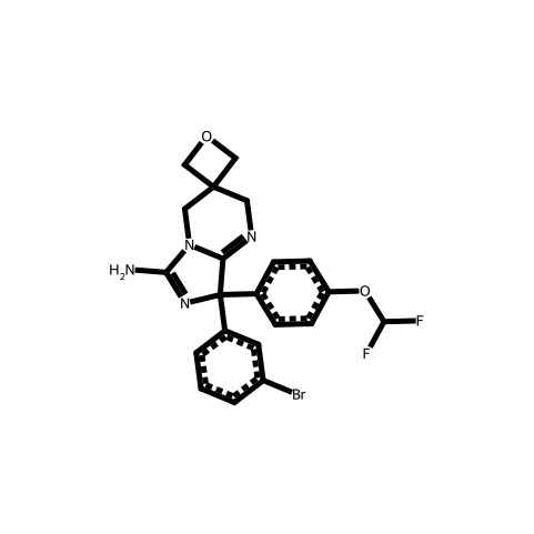 NC1=NC(c2ccc(OC(F)F)cc2)(c2cccc(Br)c2)C2=NCC3(COC3)CN12